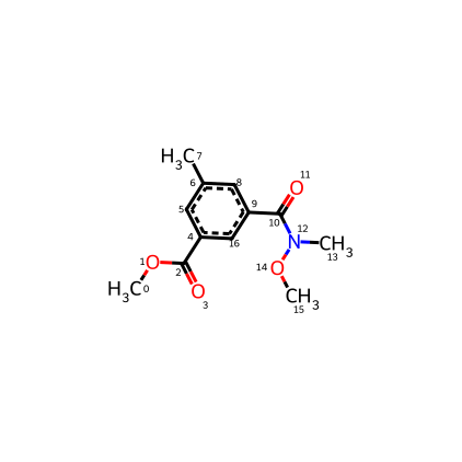 COC(=O)c1cc(C)cc(C(=O)N(C)OC)c1